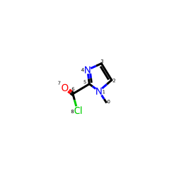 Cn1ccnc1C(=O)Cl